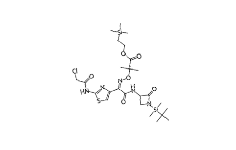 CC(C)(ON=C(C(=O)NC1CN([Si](C)(C)C(C)(C)C)C1=O)c1csc(NC(=O)CCl)n1)C(=O)OCC[Si](C)(C)C